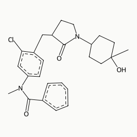 CN(C(=O)c1ccccc1)c1ccc(CC2CCN(C3CCC(C)(O)CC3)C2=O)c(Cl)c1